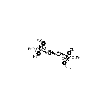 CCOC(=O)C1=C(C)N(c2cccc(C(F)(F)F)c2)C(=O)N(CCCN2CCN(CCN3CCN(CCCN4C(=O)N(c5cccc(C(F)(F)F)c5)C(C)=C(C(=O)OCC)[C@H]4c4ccc(C#N)cc4)CC3)CC2)[C@@H]1c1ccc(C#N)cc1